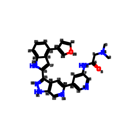 CN(C)CC(=O)Nc1cncc(-c2cc3c(-c4cc5c(-c6ccoc6)cccc5[nH]4)n[nH]c3cn2)c1